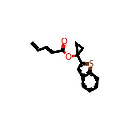 C=CC=CC(=O)OC1(c2cc3ccccc3s2)CC1